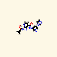 O=C(Nc1cncc(-n2ccnc2)c1)c1ccnc(NC(=O)C2CC2)c1